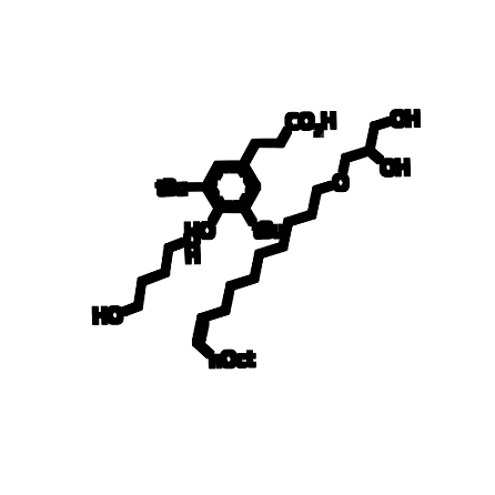 CC(C)(C)c1cc(CCC(=O)O)cc(C(C)(C)C)c1O.CCCCCCCC/C=C\CCCCCCCCOCC(O)CO.OCCCCO